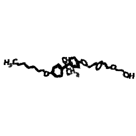 CCCCCCCOc1ccc(C(C)(C)c2ccc(OCCOCCOCCO)cc2)cc1